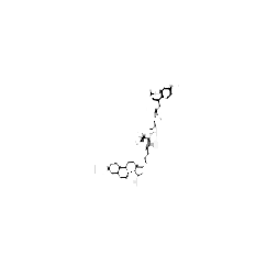 COc1ccc2c(CC(=O)NCCCC[C@H](NC(=O)CC[C@@H](C)[C@H]3CCC4C5C(CC[C@@]43C)[C@@]3(C)CC[C@@H](O)CC3C[C@@H]5O)C(=O)O)cc(=O)oc2c1